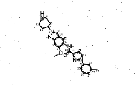 COc1cc2nn(C3CCNCC3)cc2cc1NC(=O)c1ccn(-c2cccc(C)c2)n1